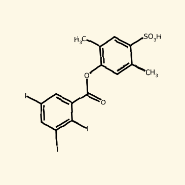 Cc1cc(S(=O)(=O)O)c(C)cc1OC(=O)c1cc(I)cc(I)c1I